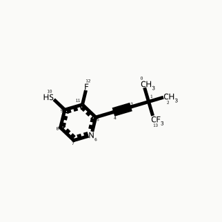 CC(C)(C#Cc1nccc(S)c1F)C(F)(F)F